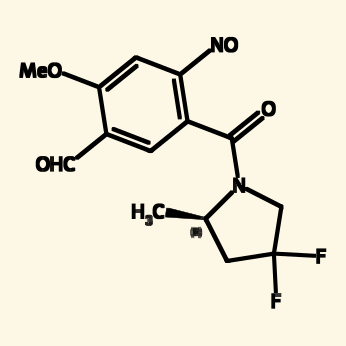 COc1cc(N=O)c(C(=O)N2CC(F)(F)C[C@H]2C)cc1C=O